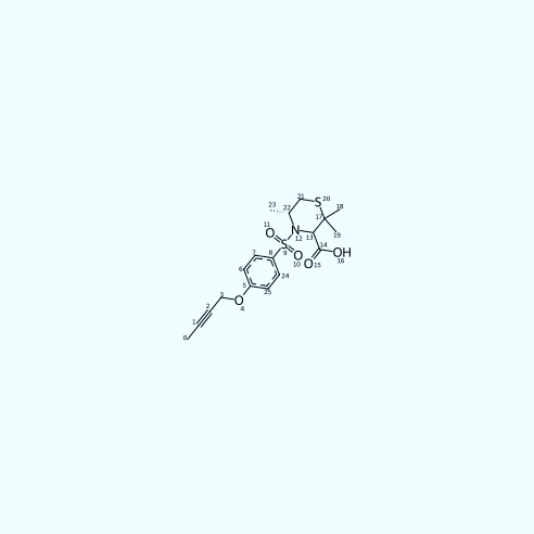 CC#CCOc1ccc(S(=O)(=O)N2C(C(=O)O)C(C)(C)SC[C@H]2C)cc1